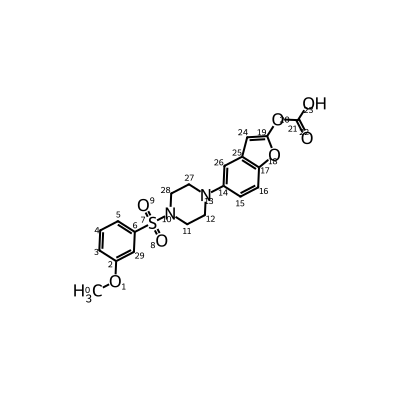 COc1cccc(S(=O)(=O)N2CCN(c3ccc4oc(OC(=O)O)cc4c3)CC2)c1